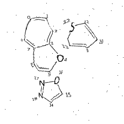 c1ccc2occc2c1.c1ccsc1.c1conn1